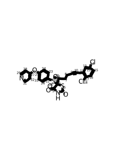 O=C1NC(=O)C(CCCC#Cc2cc(Cl)ccc2Cl)(S(=O)(=O)c2ccc(Oc3ccncc3)cc2)S1